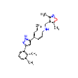 C=C/C=C(\C=C/CNCc1c(C)noc1C)c1cc(-c2cccc(C)c2C)n[nH]1